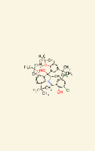 CC(N=Cc1cc(Cl)cc(Cl)c1O)C(O)(c1cc(C(C)(C)C)ccc1OC(C)(C)C)c1cc(C(C)(C)C)ccc1OC(C)(C)C